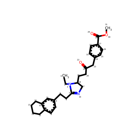 CCN1C(CCc2ccc3c(c2)CCCC3)=NCC1CCC(=O)Cc1ccc(C(=O)OC)cc1